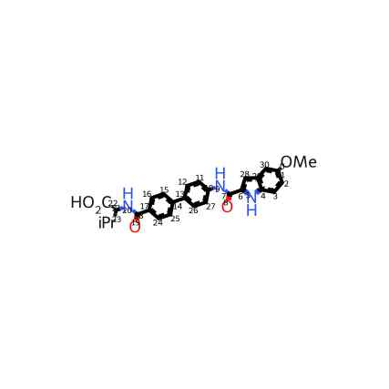 COc1ccc2[nH]c(C(=O)Nc3ccc(-c4ccc(C(=O)N[C@H](C(=O)O)C(C)C)cc4)cc3)cc2c1